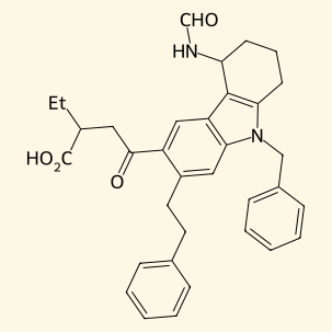 CCC(CC(=O)c1cc2c3c(n(Cc4ccccc4)c2cc1CCc1ccccc1)CCCC3NC=O)C(=O)O